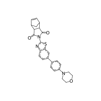 O=C1C2C3C=CC(C3)C2C(=O)N1c1nc2ccc(-c3ccc(N4CCOCC4)cc3)cc2s1